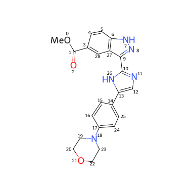 COC(=O)c1ccc2[nH]nc(-c3ncc(-c4ccc(N5CCOCC5)cc4)[nH]3)c2c1